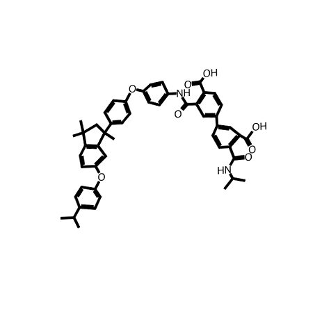 CC(C)NC(=O)c1ccc(-c2ccc(C(=O)O)c(C(=O)Nc3ccc(Oc4ccc(C5(C)CC(C)(C)c6ccc(Oc7ccc(C(C)C)cc7)cc65)cc4)cc3)c2)cc1C(=O)O